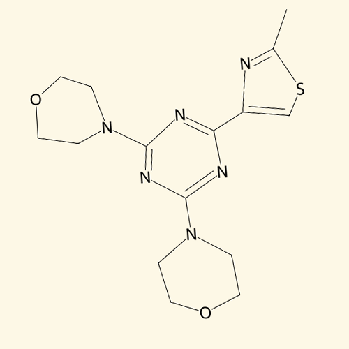 Cc1nc(-c2nc(N3CCOCC3)nc(N3CCOCC3)n2)cs1